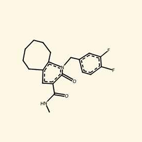 CNC(=O)c1cc2c(n(Cc3ccc(F)c(F)c3)c1=O)CCCCCC2